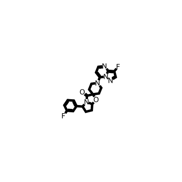 O=C1N2C(CCC2c2cccc(F)c2)OC12CCN(c1ccnc3c(F)cnn13)CC2